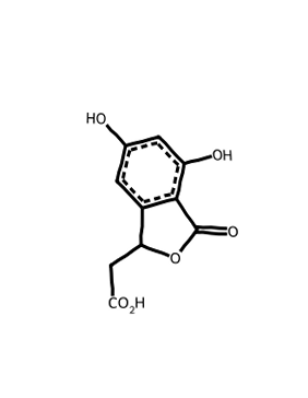 O=C(O)CC1OC(=O)c2c(O)cc(O)cc21